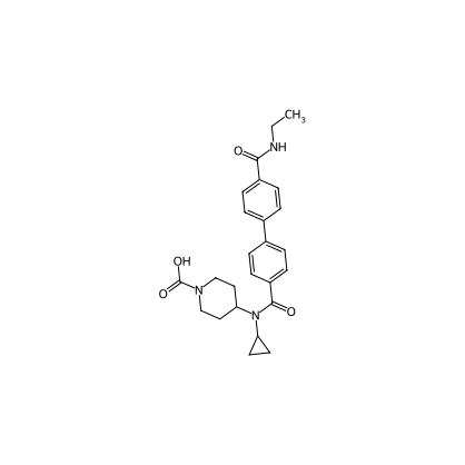 CCNC(=O)c1ccc(-c2ccc(C(=O)N(C3CC3)C3CCN(C(=O)O)CC3)cc2)cc1